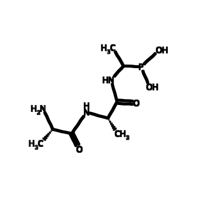 CC(NC(=O)[C@H](C)NC(=O)[C@H](C)N)P(O)O